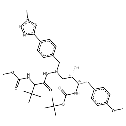 COC(=O)NC(C(=O)NN(Cc1ccc(-c2nnn(C)n2)cc1)C[C@H](O)[C@H](Cc1ccc(OC)cc1)NC(=O)OC(C)(C)C)C(C)(C)C